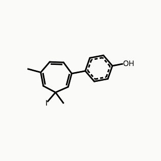 CC1=CC(C)(I)C=C(c2ccc(O)cc2)C=C1